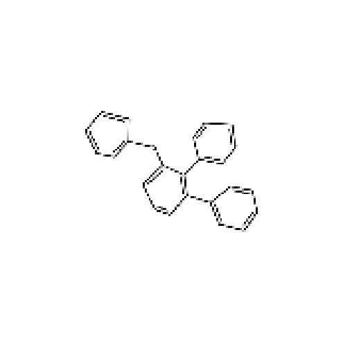 [c]1ccc(Sc2ccccc2)c(-c2ccccc2)c1-c1ccccc1